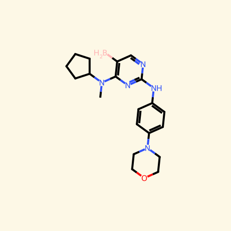 Bc1cnc(Nc2ccc(N3CCOCC3)cc2)nc1N(C)C1CCCC1